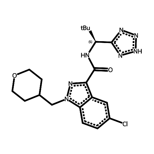 CC(C)(C)[C@H](NC(=O)c1nn(CC2CCOCC2)c2ccc(Cl)cc12)c1nn[nH]n1